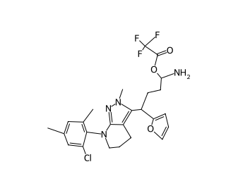 Cc1cc(C)c(N2CCCc3c2nn(C)c3C(CCC(N)OC(=O)C(F)(F)F)c2ccco2)c(Cl)c1